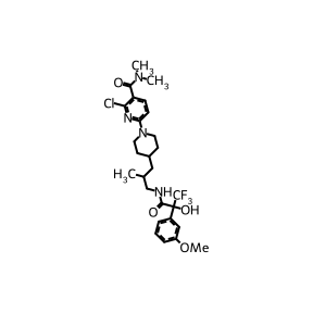 COc1cccc(C(O)(C(=O)NCC(C)CC2CCN(c3ccc(C(=O)N(C)C)c(Cl)n3)CC2)C(F)(F)F)c1